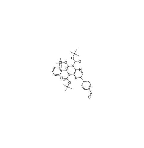 CC(C)(C)OC(=O)N(Cc1c(Cl)cccc1Cl)c1nc(-c2ccc(C=O)cc2)cnc1N(C(=O)OC(C)(C)C)C(=O)OC(C)(C)C